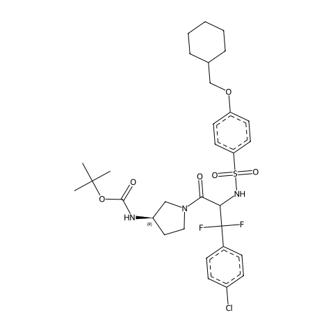 CC(C)(C)OC(=O)N[C@@H]1CCN(C(=O)C(NS(=O)(=O)c2ccc(OCC3CCCCC3)cc2)C(F)(F)c2ccc(Cl)cc2)C1